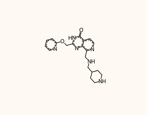 O=c1[nH]c(COc2ccccn2)nc2c(CNCC3CCNCC3)nccc12